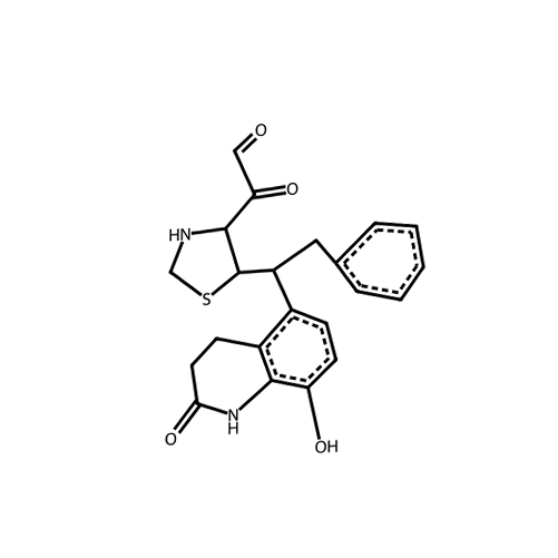 O=CC(=O)C1NCSC1C(Cc1ccccc1)c1ccc(O)c2c1CCC(=O)N2